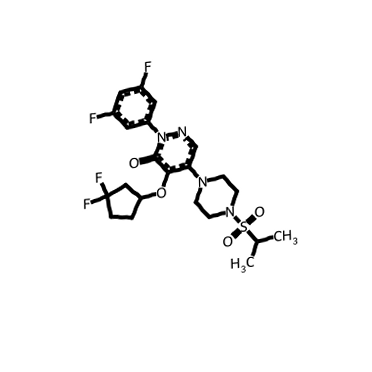 CC(C)S(=O)(=O)N1CCN(c2cnn(-c3cc(F)cc(F)c3)c(=O)c2OC2CCC(F)(F)C2)CC1